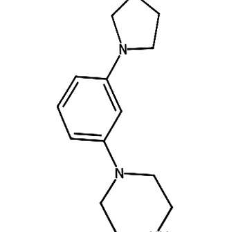 c1cc(N2CCCC2)cc(N2CCNCC2)c1